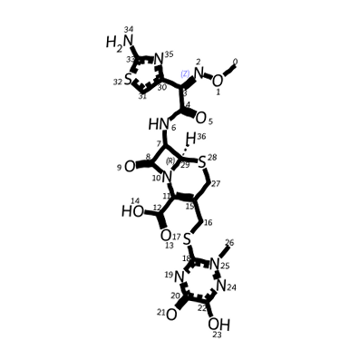 CO/N=C(\C(=O)NC1C(=O)N2C(C(=O)O)=C(CSc3nc(=O)c(O)nn3C)CS[C@H]12)c1csc(N)n1